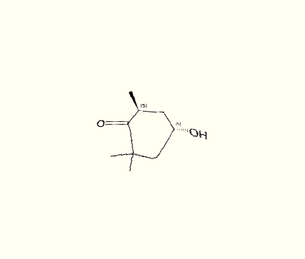 C[C@H]1C[C@H](O)CC(C)(C)C1=O